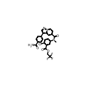 CN(C(=O)c1ccn2ncc(-c3ccc(C(N)=O)cc3)c2c1)c1ccc(Cl)c(C(=O)OCC(F)(F)F)c1